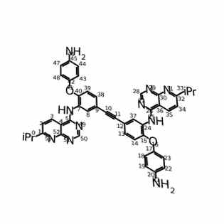 CC(C)c1ccc2c(Nc3cc(C#Cc4ccc(Oc5ccc(N)cc5)c(Nc5ncnc6nc(C(C)C)ccc56)c4)ccc3Oc3ccc(N)cc3)ncnc2n1